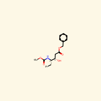 CC(C)C[C@H](NC(=O)OC(C)(C)C)[C@@H](O)CC(=O)OCc1ccccc1